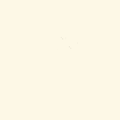 CCNC(=N)SCc1cccc2ccccc12